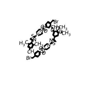 COc1cc(-c2csc(N3CCN(S(=O)(=O)c4ccc(CBr)cc4)CC3)n2)cc(OC)c1OC.Cc1cc(C)c(-c2csc(N3CCN(S(=O)(=O)c4ccc(CBr)cc4)CC3)n2)c(C)c1